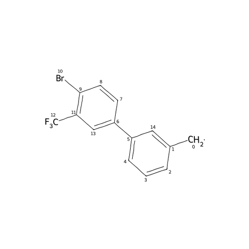 [CH2]c1cccc(-c2ccc(Br)c(C(F)(F)F)c2)c1